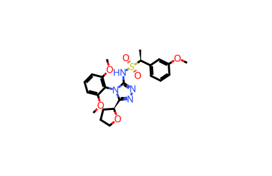 COc1cccc([C@H](C)S(=O)(=O)Nc2nnc([C@@H]3CCCO3)n2-c2c(OC)cccc2OC)c1